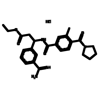 CCOC(=O)CC(NC(=O)c1ccc(C(=O)N2CCCC2)c(C)c1)c1cccc(C(=N)N)c1.Cl